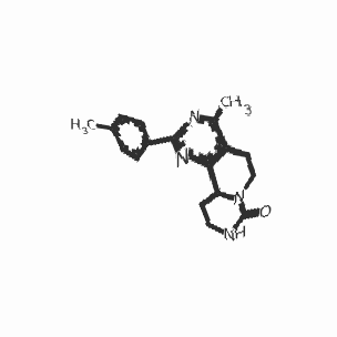 Cc1ccc(-c2nc(C)c3c(n2)C2CCNC(=O)N2CC3)cc1